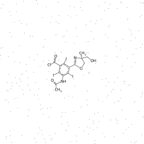 CC(=O)Nc1c(I)c(C(=O)Cl)c(I)c(C2=NC(C)(CO)CO2)c1I